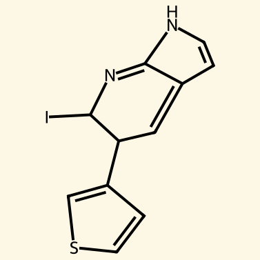 IC1N=c2[nH]ccc2=CC1c1ccsc1